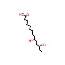 CCC(O)CCC(O)CCCCCCCCC(=O)O